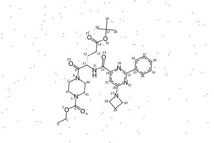 CCOC(=O)N1CCN(C(=O)[C@H](CCC(=O)OC(C)(C)C)NC(=O)c2cc(N3CCC3)nc(-c3ccccc3)n2)CC1